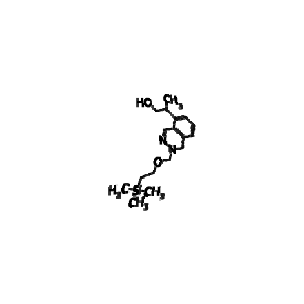 CC(CO)c1cccc2c1C=NN(COCC[Si](C)(C)C)C2